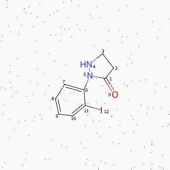 O=C1CCNN1c1ccccc1I